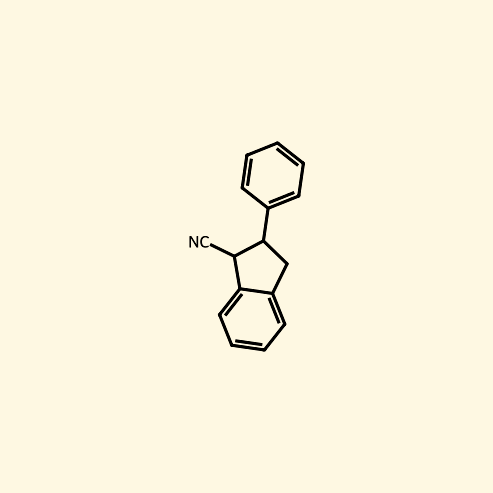 N#CC1c2ccccc2CC1c1ccccc1